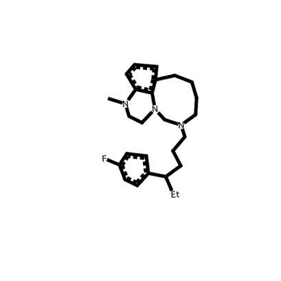 CCC(CCCN1CCCCc2cccc3c2N(CCN3C)C1)c1ccc(F)cc1